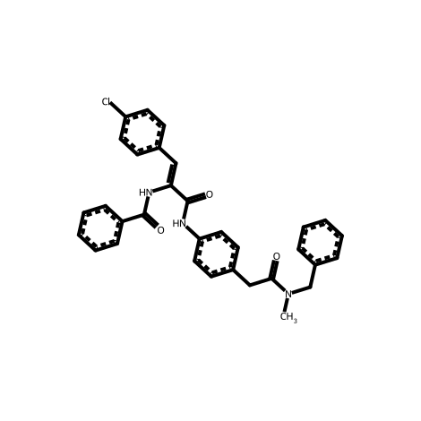 CN(Cc1ccccc1)C(=O)Cc1ccc(NC(=O)C(=Cc2ccc(Cl)cc2)NC(=O)c2ccccc2)cc1